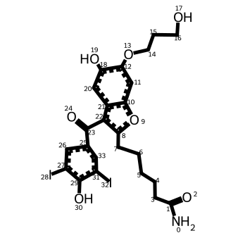 NC(=O)CCCCCc1oc2cc(OCCCO)c(O)cc2c1C(=O)c1cc(I)c(O)c(I)c1